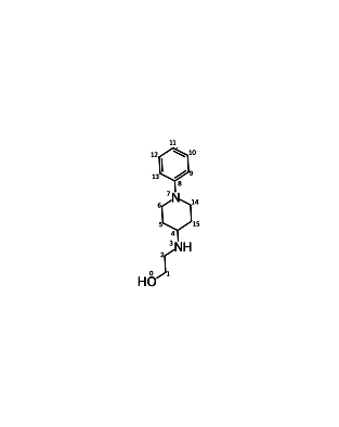 OCCNC1CCN(c2cc[c]cc2)CC1